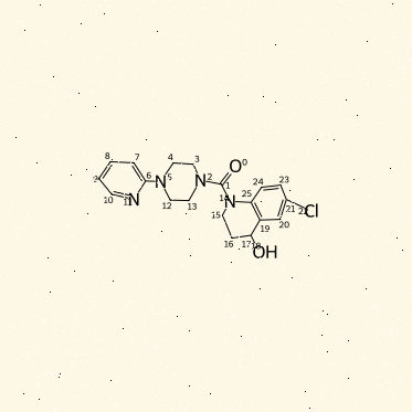 O=C(N1CCN(c2ccccn2)CC1)N1CCC(O)c2cc(Cl)ccc21